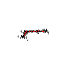 CC(C)CCCCCOC(=O)CCCCCCCCCCCCCCCC(C)C(=O)OCCCCCC(C)C